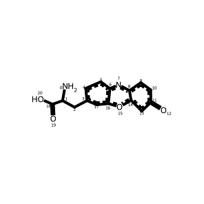 NC(Cc1ccc2nc3ccc(=O)cc-3oc2c1)C(=O)O